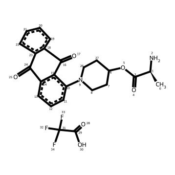 C[C@H](N)C(=O)OC1CCN(c2cccc3c2C(=O)c2ccccc2C3=O)CC1.O=C(O)C(F)(F)F